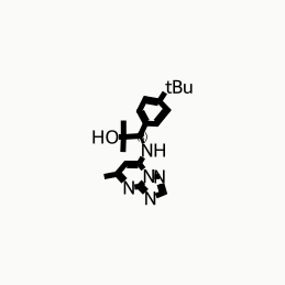 Cc1cc(N[C@H](c2ccc(C(C)(C)C)cc2)C(C)(C)O)n2ncnc2n1